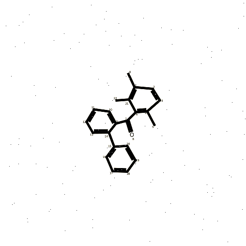 Cc1ccc(C)c(C(=O)c2ccccc2-c2ccccc2)c1C